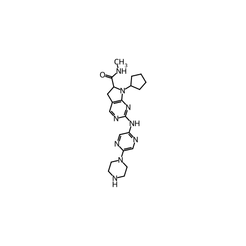 CNC(=O)C1Cc2cnc(Nc3cnc(N4CCNCC4)cn3)nc2N1C1CCCC1